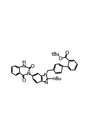 CCCCc1nc2ccc(-n3c(=O)[nH]c4ccccc4c3=O)cc2n1Cc1ccc(-c2ccccc2C(=O)OC(C)(C)C)cc1